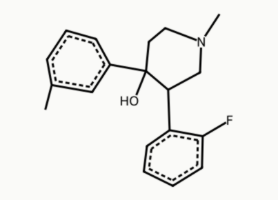 Cc1cccc(C2(O)CCN(C)CC2c2ccccc2F)c1